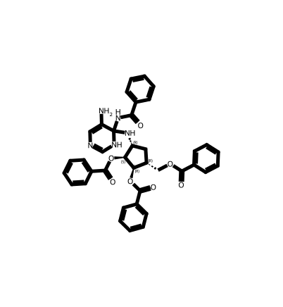 NC1=CN=CNC1(NC(=O)c1ccccc1)N[C@@H]1C[C@H](COC(=O)c2ccccc2)[C@@H](OC(=O)c2ccccc2)[C@H]1OC(=O)c1ccccc1